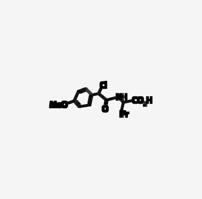 COc1ccc(C(Cl)C(=O)NC(C(=O)O)C(C)C)cc1